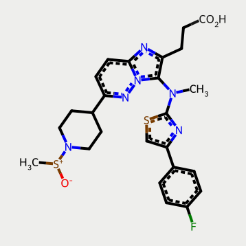 CN(c1nc(-c2ccc(F)cc2)cs1)c1c(CCC(=O)O)nc2ccc(C3CCN([S+](C)[O-])CC3)nn12